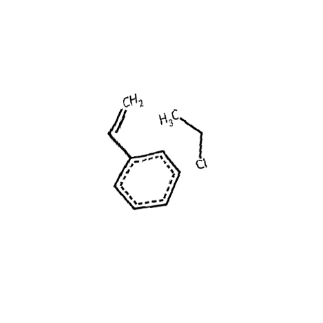 C=Cc1ccccc1.CCCl